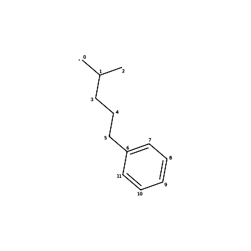 [CH2]C(C)CCCc1ccccc1